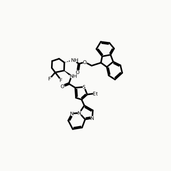 CCc1sc(C(=O)N[C@@H]2[C@@H](NC(=O)OCC3c4ccccc4-c4ccccc43)CCCC2(F)F)cc1-c1cnc2cccnn12